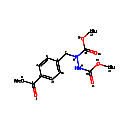 COC(=O)c1ccc(CN(NC(=O)OC(C)(C)C)C(=O)OC(C)(C)C)cc1